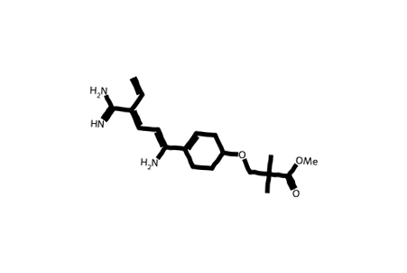 C=C/C(=C\C=C(/N)C1=CCC(OCC(C)(C)C(=O)OC)CC1)C(=N)N